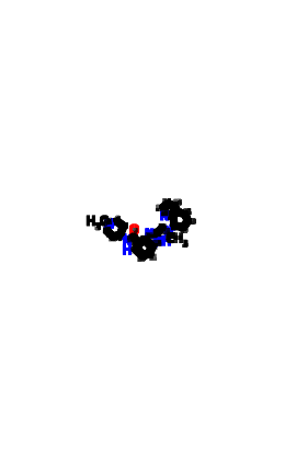 CN1CCC(NC(=O)c2cccc3[nH]c(CN(C)C4CCCc5cccnc54)nc23)CC1